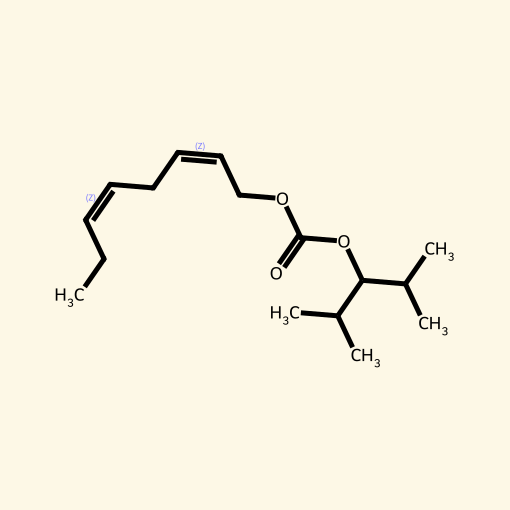 CC/C=C\C/C=C\COC(=O)OC(C(C)C)C(C)C